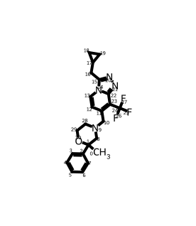 CC1(c2ccccc2)CN(Cc2ccn3c(CC4CC4)nnc3c2C(F)(F)F)CCO1